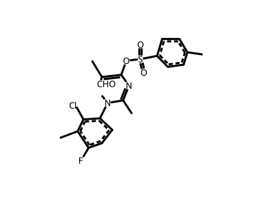 C/C(=N/C(OS(=O)(=O)c1ccc(C)cc1)=C(/C)C=O)N(C)c1ccc(F)c(C)c1Cl